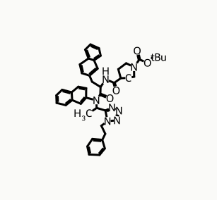 CC(c1nnnn1CCc1ccccc1)N(C(=O)C(Cc1ccc2ccccc2c1)NC(=O)C1CCN(C(=O)OC(C)(C)C)CC1)c1ccc2ccccc2c1